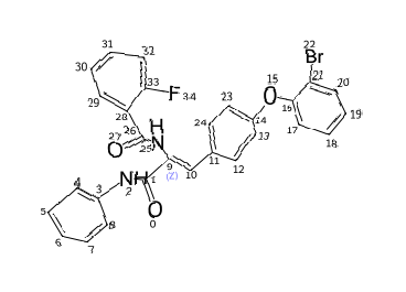 O=C(Nc1ccccc1)/C(=C/c1ccc(Oc2ccccc2Br)cc1)NC(=O)c1ccccc1F